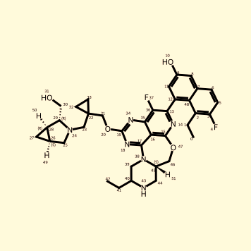 CCc1c(F)ccc2cc(O)cc(-c3nc4c5c(nc(OCC6(CN7C[C@H]8C[C@H]8[C@@H]7CO)CC6)nc5c3F)N3CC(CC)NC[C@H]3CO4)c12